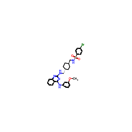 COc1cccc(Nc2nc(NC[C@H]3CC[C@H](CNS(=O)(=O)c4ccc(Br)cc4)CC3)nc3ccccc23)c1